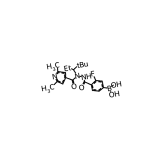 CCC(N(NC(=O)c1ccc(B(O)O)cc1F)C(=O)c1cc(C)nc(C)c1)C(C)(C)C